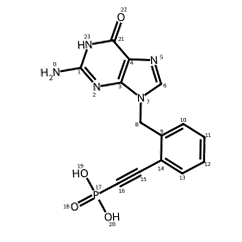 Nc1nc2c(ncn2Cc2ccccc2C#CP(=O)(O)O)c(=O)[nH]1